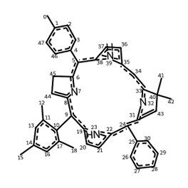 Cc1ccc(-c2c3nc(c(-c4c(C)cc(C)cc4C)c4ccc([nH]4)c(-c4ccccc4)c4nc(cc5ccc2[nH]5)C(C)(C)C=4)=CC3)cc1